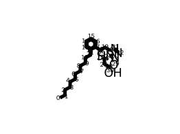 CCCCCCCCCCCCc1ccccc1C(Cc1nnn[nH]1)SCCC(=O)O